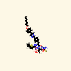 CCCCCCCOc1ccc(-c2cnc(-c3ccc(CC(NC(=O)c4ccc(C(C)(C)C)s4)C(=O)N[C@@H](c4n[nH]c(=S)o4)[C@@H](C)O)cc3)nc2)cc1